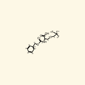 O=C(NC(COCC(F)(F)F)C(=O)O)OCc1ccccc1